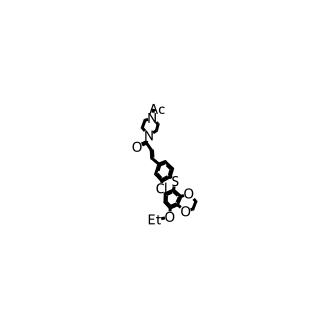 CCOc1ccc(Sc2ccc(C=CC(=O)N3CCN(C(C)=O)CC3)cc2Cl)c2c1OCCO2